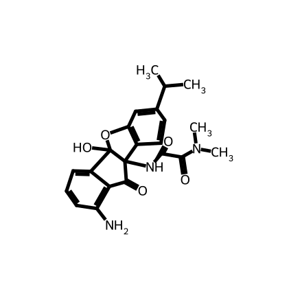 CC(C)c1ccc2c(c1)OC1(O)c3cccc(N)c3C(=O)C21NC(=O)C(=O)N(C)C